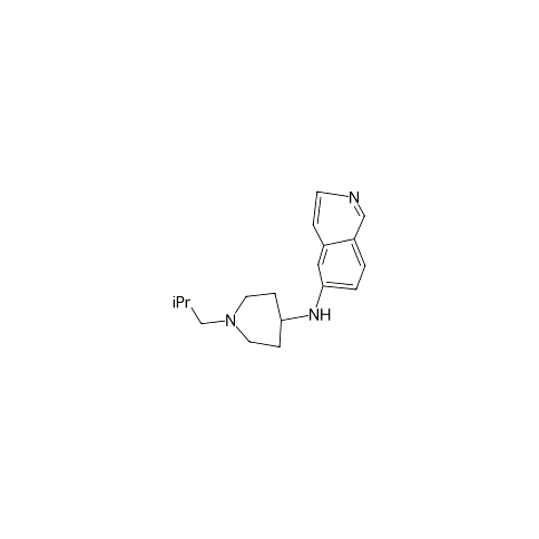 CC(C)CN1CCC(Nc2ccc3cnccc3c2)CC1